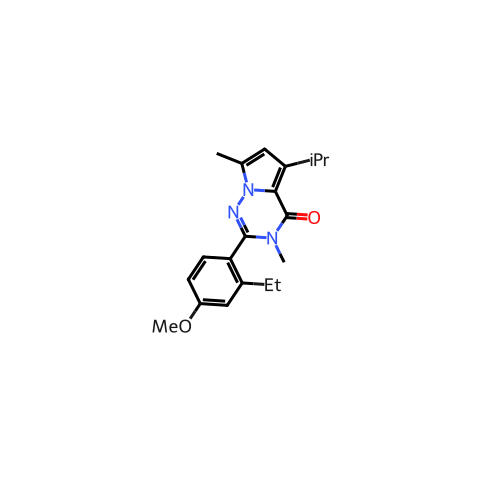 CCc1cc(OC)ccc1-c1nn2c(C)cc(C(C)C)c2c(=O)n1C